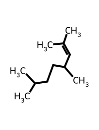 CC(C)=CC(C)CCC(C)C